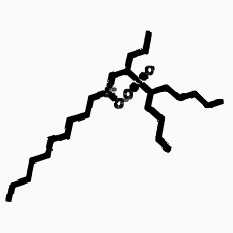 CCCCCCCCCC[S+]([O-])CC(CCC)S(=O)(=O)C(CCCC)CCCCC